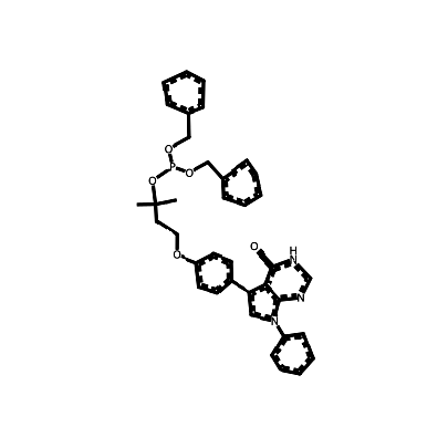 CC(C)(CCOc1ccc(-c2cn(-c3ccccc3)c3nc[nH]c(=O)c23)cc1)OP(OCc1ccccc1)OCc1ccccc1